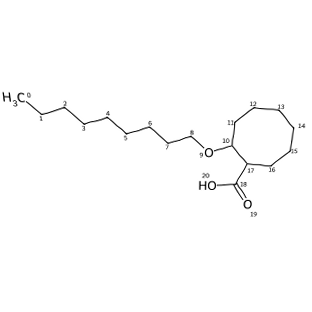 CCCCCCCCCOC1CCCCCCC1C(=O)O